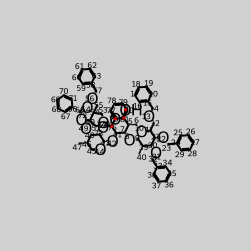 CC1OC(O)[C@@H](C)C(O[C@@H]2OC(COCc3ccccc3)[C@@H](OCc3ccccc3)C(OCc3ccccc3)[C@H]2C)[C@H]1O[C@@H]1OC[C@@H](C)C(O[C@@]23COCC2(COCc2ccccc2)O[C@@H](c2ccccc2)O3)[C@H]1OCc1ccccc1